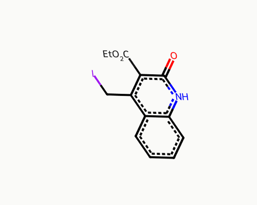 CCOC(=O)c1c(CI)c2ccccc2[nH]c1=O